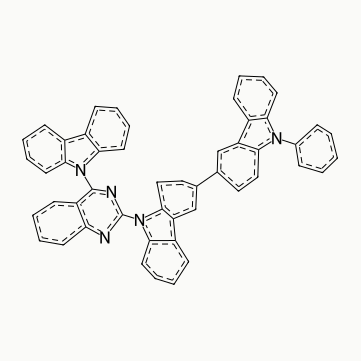 c1ccc(-n2c3ccccc3c3cc(-c4ccc5c(c4)c4ccccc4n5-c4nc(-n5c6ccccc6c6ccccc65)c5ccccc5n4)ccc32)cc1